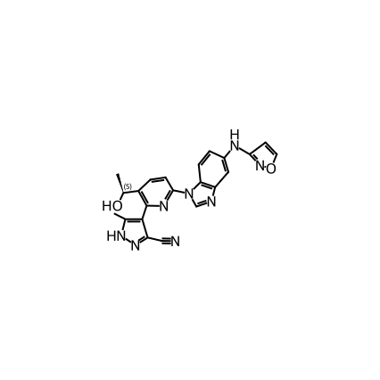 Cc1[nH]nc(C#N)c1-c1nc(-n2cnc3cc(Nc4ccon4)ccc32)ccc1[C@H](C)O